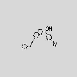 N#Cc1ccc(C(O)c2ccc3ccc(C#CCc4ccccc4)cc3c2)cc1